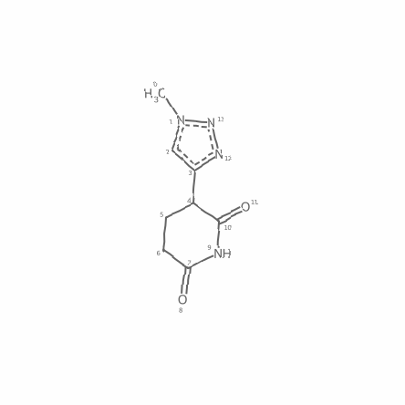 Cn1cc(C2CCC(=O)NC2=O)nn1